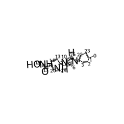 Cc1ccc(N2C[C@@H]3C[C@H]2CN3c2ccc(C(=O)NO)cn2)cc1